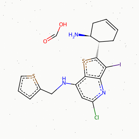 N[C@H]1CC=CC[C@@H]1c1sc2c(NCc3cccs3)cc(Cl)nc2c1I.O=CO